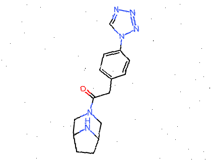 O=C(Cc1ccc(-n2cnnn2)cc1)N1CC2CCC(C1)N2